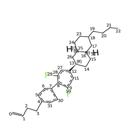 C=CCCc1ccc(-c2c(F)cc([C@@H]3CC[C@@H]4CC(CCCC)CC[C@@H]4C3)cc2F)cc1